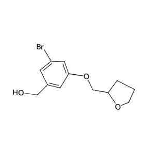 OCc1cc(Br)cc(OCC2CCCO2)c1